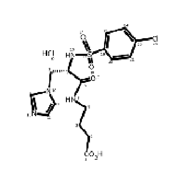 Cl.O=C(O)CCCNC(=O)[C@H](Cn1ccnc1)NS(=O)(=O)c1ccc(Cl)cc1